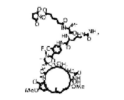 COc1cc2cc(c1Cl)N(C)C(=O)C[C@H](OC(=O)[C@H](C)N(C)C(=O)c1ccc(NC(=O)[C@H](CCCNC(N)=O)NC(=O)[C@@H](NC(=O)CCCCC(=O)ON3C(=O)CCC3=O)C(C)C)cc1C(F)(F)F)[C@]1(C)O[C@H]1[C@H](C)[C@@H]1C[C@@](O)(NC(=O)O1)[C@H](OC)/C=C/C=C(\C)C2